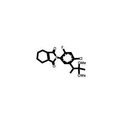 COC(C)(OC)C(C)c1cc(N2C(=O)C3=C(CCCC3)C2=O)c(F)cc1Cl